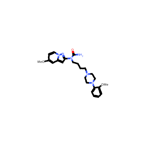 COc1ccn2nc(N(CCCCN3CCN(c4ccccc4OC)CC3)C(N)=O)cc2c1